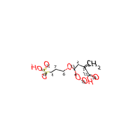 C=C(CC(=O)OCCCS(=O)(=O)O)C(=O)O